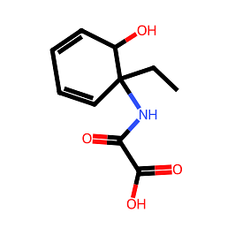 CCC1(NC(=O)C(=O)O)C=CC=CC1O